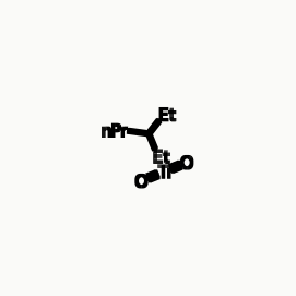 [CH2]CC(CC)CCC.[O]=[Ti]=[O]